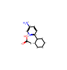 CC(=O)O.Nc1ccc(C2CCCCC2)nc1